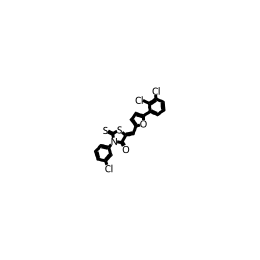 O=C1C(=Cc2ccc(-c3cccc(Cl)c3Cl)o2)SC(=S)N1c1cccc(Cl)c1